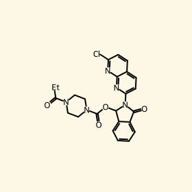 CCC(=O)N1CCN(C(=O)OC2c3ccccc3C(=O)N2c2ccc3ccc(Cl)nc3n2)CC1